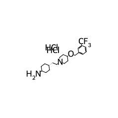 Cl.Cl.N[C@H]1CC[C@H](CCN2CCC(OCc3cccc(C(F)(F)F)c3)CC2)CC1